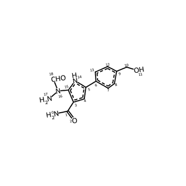 NC(=O)c1cc(-c2ccc(CO)cc2)[nH]c1N(N)C=O